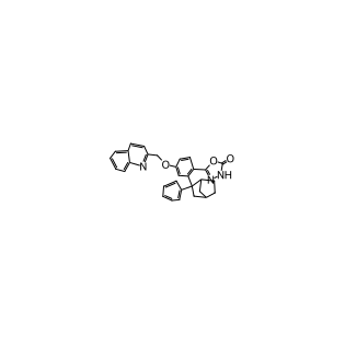 O=c1[nH]nc(-c2ccc(OCc3ccc4ccccc4n3)cc2C2(c3ccccc3)CC3CCC2C3)o1